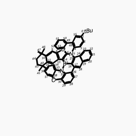 CC(C)(C)c1ccc(N2c3oc4cc5c(cc4c3B3c4c(cc6ccccc6c42)-c2cccc4c2N3c2ccccc2O4)C(C)(C)CCC5(C)C)c(-c2ccccc2)c1